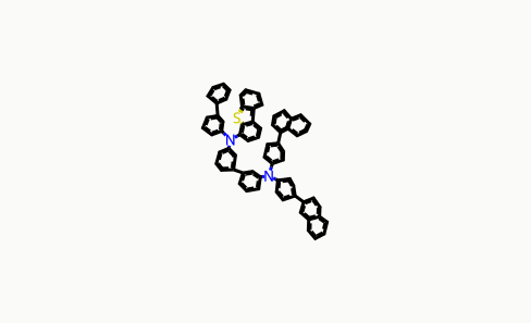 c1ccc(-c2cccc(N(c3cccc(-c4cccc(N(c5ccc(-c6ccc7ccccc7c6)cc5)c5ccc(-c6cccc7ccccc67)cc5)c4)c3)c3cccc4c3sc3ccccc34)c2)cc1